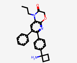 CCCN1C(=O)COc2nc(-c3ccc(C4(N)CCC4)cc3)c(-c3ccccc3)cc21